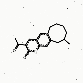 CC(=O)c1cc2cc3c(cc2oc1=O)CC(C)CCCC3